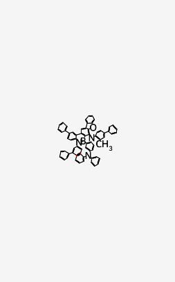 Cc1cc(-c2ccccc2)ccc1N1c2ccc(N(c3ccccc3)c3ccccc3)cc2B2c3c(cc4c(oc5ccccc54)c31)-c1cc(-c3ccccc3)ccc1N2c1cccc(-c2ccccc2)c1